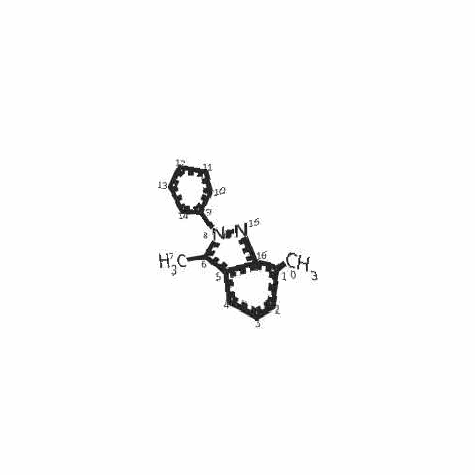 Cc1cccc2c(C)n(-c3ccccc3)nc12